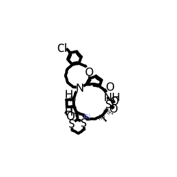 CO[C@]1(C2SCCCS2)/C=C/C[C@H](C)[C@@H](C)S(=O)(=O)NC(=O)c2ccc3c(c2)N(CCCCc2cc(Cl)ccc2CO3)C[C@@H]2CC[C@H]21